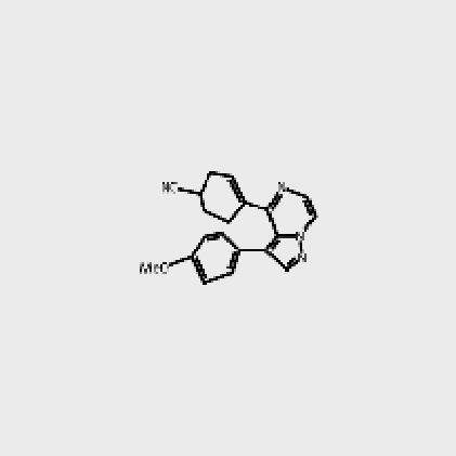 COc1ccc(-c2cnn3ccnc(C4=CCC(C#N)CC4)c23)cc1